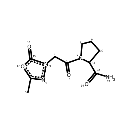 Cc1nn(CC(=O)N2CCCC2C(N)=O)c(=O)o1